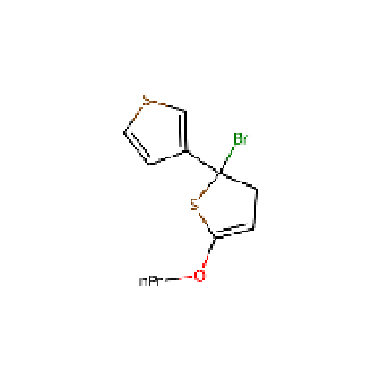 CCCOC1=CCC(Br)(c2ccsc2)S1